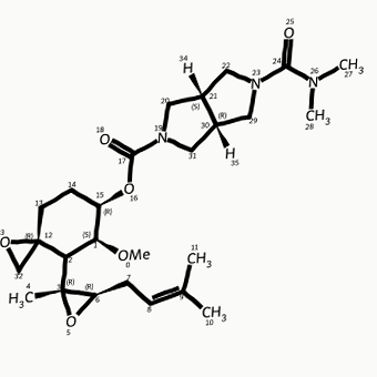 CO[C@H]1C([C@@]2(C)O[C@@H]2CC=C(C)C)[C@]2(CC[C@H]1OC(=O)N1C[C@@H]3CN(C(=O)N(C)C)C[C@@H]3C1)CO2